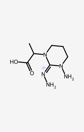 CC(C(=O)O)N1CCCN(N)/C1=N\N